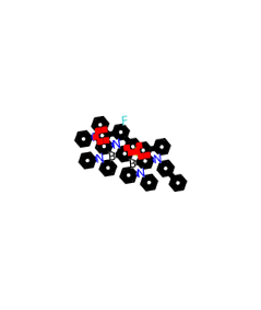 Fc1cc(-c2ccccc2)c(N2c3cc4c(cc3B3c5ccccc5N(c5ccccc5)c5cc(N(c6ccccc6)c6ccccc6)cc2c53)B2c3ccccc3N(c3ccccc3)c3cc(N(c5ccc(-c6ccccc6)cc5)c5ccccc5-c5ccccc5)cc(c32)S4)c(-c2ccccc2)c1